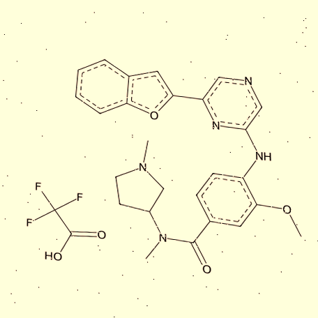 COc1cc(C(=O)N(C)C2CCN(C)C2)ccc1Nc1cncc(-c2cc3ccccc3o2)n1.O=C(O)C(F)(F)F